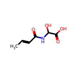 CC=CC(=O)NC(O)C(=O)O